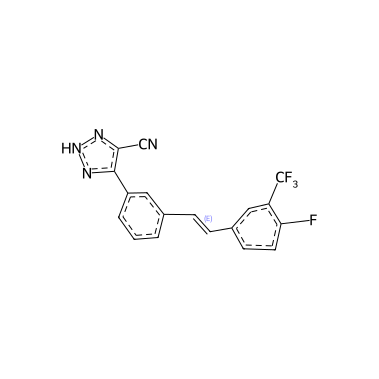 N#Cc1n[nH]nc1-c1cccc(/C=C/c2ccc(F)c(C(F)(F)F)c2)c1